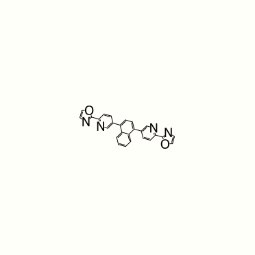 c1ccc2c(-c3ccc(-c4ncco4)nc3)ccc(-c3ccc(-c4ncco4)nc3)c2c1